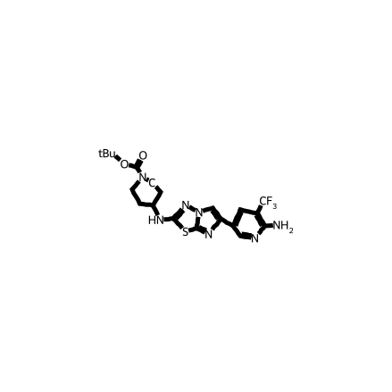 CC(C)(C)OC(=O)N1CCC(Nc2nn3cc(-c4cnc(N)c(C(F)(F)F)c4)nc3s2)CC1